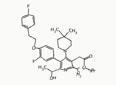 Cc1nc(C(C)O)c(-c2ccc(OCCc3ccc(F)cc3)c(F)c2)c(N2CCC(C)(C)CC2)c1CC(=O)OC(C)C